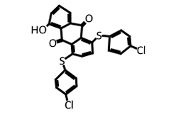 O=C1c2cccc(O)c2C(=O)c2c(Sc3ccc(Cl)cc3)ccc(Sc3ccc(Cl)cc3)c21